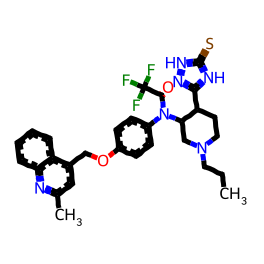 CCCN1CCC(c2n[nH]c(=S)[nH]2)C(N(C(=O)C(F)(F)F)c2ccc(OCc3cc(C)nc4ccccc34)cc2)C1